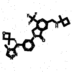 Cn1cnnc1[C@H](CC1(C)COC1)c1cccc(N2Cc3c(cc(CNC4(C)CCC4)cc3C(F)(F)F)C2=O)c1